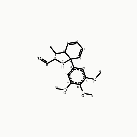 CCC1C=CC=CC1(NCC=O)c1cc(OC)c(OC)c(OC)c1